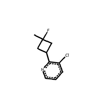 CC1(F)CC(c2ncccc2Cl)C1